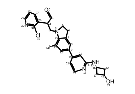 O=CC(CN1CCc2cc(-c3ccnc(N[C@H]4C[C@H](O)C4)c3)cc(F)c21)c1cccnc1Cl